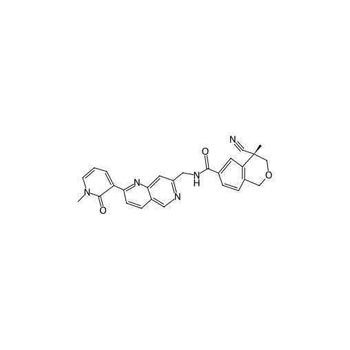 Cn1cccc(-c2ccc3cnc(CNC(=O)c4ccc5c(c4)[C@](C)(C#N)COC5)cc3n2)c1=O